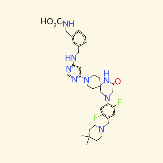 CC1(C)CCN(Cc2cc(F)c(N3CC(=O)NC4(CCN(c5cc(NCc6cccc(CNC(=O)O)c6)ncn5)CC4)C3)cc2F)CC1